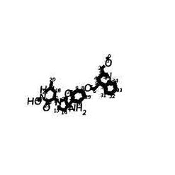 COCc1cc(COc2ccc(C3(N)CCN(C(CC(C)C)C(=O)NO)C3=O)cc2)c2ccccc2n1